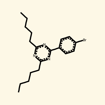 CCCCCc1nc(CCCCC)nc(-c2ccc(Br)cc2)n1